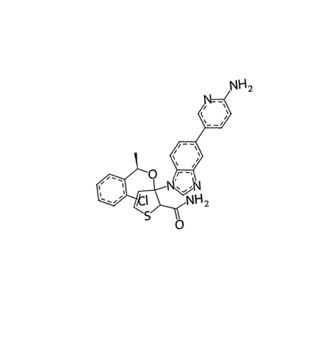 C[C@@H](OC1(n2cnc3cc(-c4ccc(N)nc4)ccc32)C=CSC1C(N)=O)c1ccccc1Cl